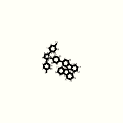 Cc1ccc(-c2ccc(-c3ccc(C)cc3)n2-c2ccc(-c3ccc4c(c3)C3(c5ccccc5-c5ccccc53)c3ccccc3-4)cc2)cc1